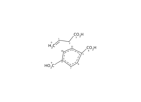 C=CCC(=O)O.O=C(O)c1ccc(C(=O)O)cc1